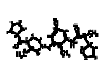 Cc1c(CN2CCN(C(=O)C3CCCC3)C(C)C2)cc(Cl)cc1NC(=O)C(C)C1CCCO1